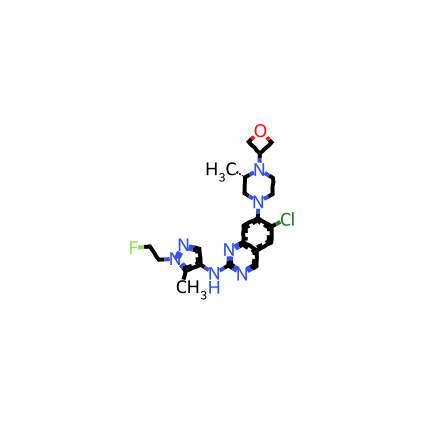 Cc1c(Nc2ncc3cc(Cl)c(N4CCN(C5COC5)[C@@H](C)C4)cc3n2)cnn1CCF